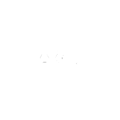 Cl.c1ccc(-c2cnc([C@H]3CCCNC3)[nH]2)cc1